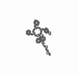 CCOCCOCCOc1ccc(C[C@H]2CN(Cc3ccc(OC)cc3)CCN(Cc3ccccc3)CCN(Cc3ccccc3)CCN2Cc2ccccc2)nc1